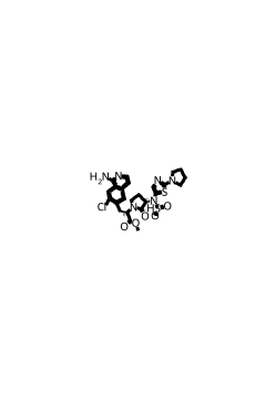 COC(=O)[C@@H](Cc1cc2ccnc(N)c2cc1Cl)N1CC[C@H](N(c2cnc(N3CCCC3)s2)[SH](=O)=O)C1=O